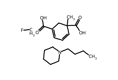 CC1(C(=O)O)C=CC=C(C(=O)O)C1.CCCCN1CCCCC1.CF